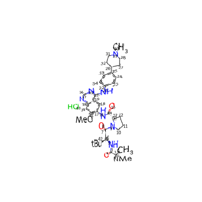 CN[C@@H](C)C(=O)N[C@H](C(=O)N1CCC[C@H]1C(=O)Nc1cc2c(Nc3ccc(C4CCN(C)CC4)cc3)ncnc2cc1OC)C(C)(C)C.Cl